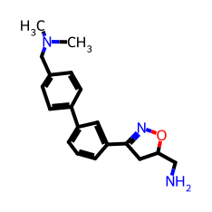 CN(C)Cc1ccc(-c2cccc(C3=NOC(CN)C3)c2)cc1